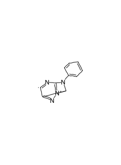 [c]1nc2[n+]3nc1C3N2c1ccccc1